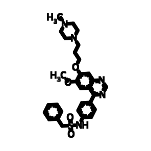 COc1cc2c(-c3ccc(NS(=O)(=O)Cc4ccccc4)cc3)ncnc2cc1OCCCN1CCN(C)CC1